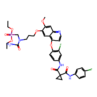 CCOP(=O)(CN(CCCOc1cc2c(Oc3ccc(NC(=O)C4(C(=O)Nc5ccc(F)cc5)CC4)cc3F)ccnc2cc1OC)C(N)=O)OCC